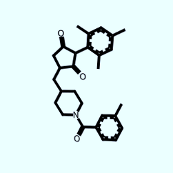 Cc1cccc(C(=O)N2CCC(CC3CC(=O)C(c4c(C)cc(C)cc4C)C3=O)CC2)c1